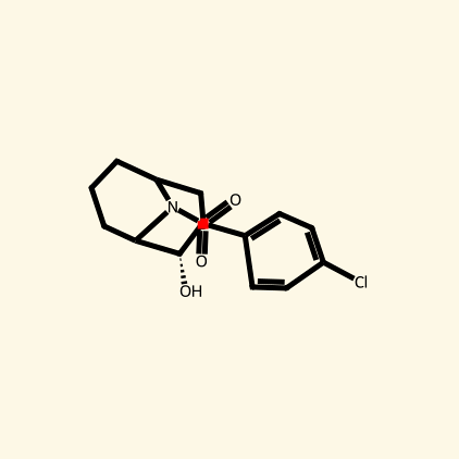 O=S(=O)(c1ccc(Cl)cc1)N1C2CCCC1[C@@H](O)CC2